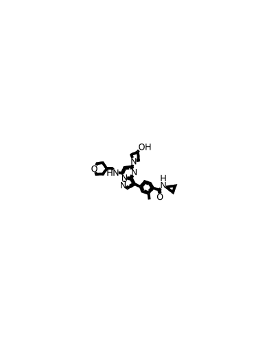 Cc1cc(-c2cnn3c(NCC4CCOCC4)cc(N4CC(O)C4)nc23)ccc1C(=O)NC1CC1